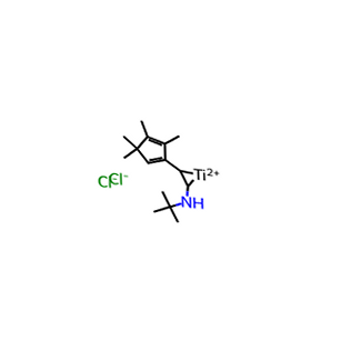 CC1=C(C)C(C)(C)C=C1[CH]1[Ti+2][CH]1NC(C)(C)C.[Cl-].[Cl-]